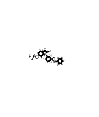 Cc1cc2ccc(OC(F)(F)F)cc2n1-c1cccc(OCc2ccccc2)c1